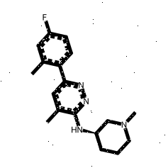 Cc1cc(F)ccc1-c1cc(C)c(N[C@@H]2CCCN(C)C2)nn1